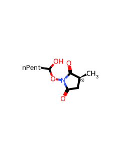 CCCCCC(O)ON1C(=O)C[C@H](C)C1=O